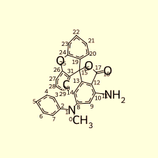 CN(c1ccccc1)c1cc(N)c2c(c1)C1(OC2=O)c2ccccc2Oc2ccccc21